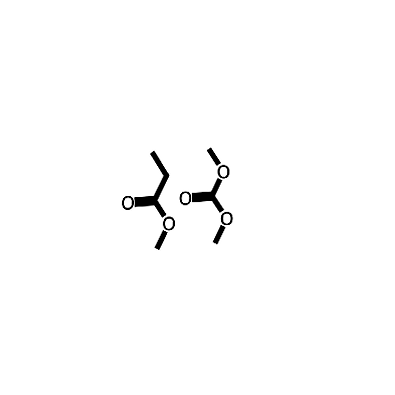 CCC(=O)OC.COC(=O)OC